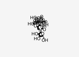 O=c1[nH]c(=O)n([C@@H]2O[C@H](CO)[C@@H](O)[C@H]2O)cc1OP(=O)(O)OP(=O)(O)OP(=O)(O)OP(=O)(O)O